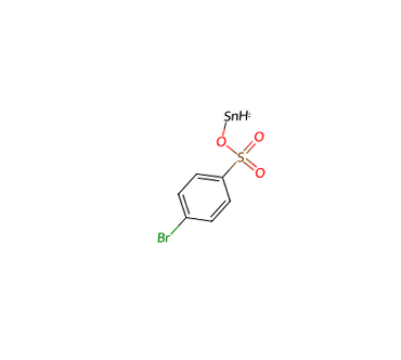 O=S(=O)([O][SnH])c1ccc(Br)cc1